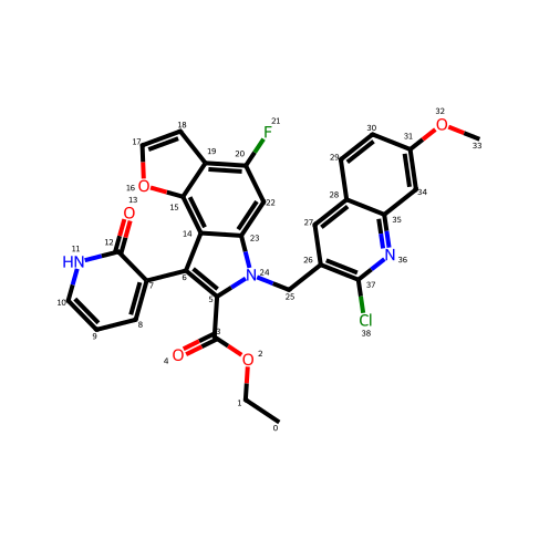 CCOC(=O)c1c(-c2ccc[nH]c2=O)c2c3occc3c(F)cc2n1Cc1cc2ccc(OC)cc2nc1Cl